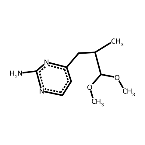 COC(OC)C(C)Cc1ccnc(N)n1